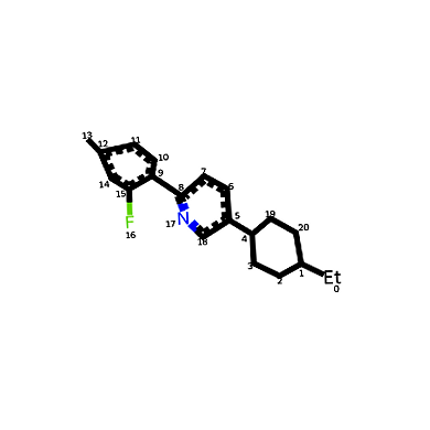 CCC1CCC(c2ccc(-c3ccc(C)cc3F)nc2)CC1